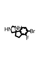 Fc1c(Br)ccc2c1CCC21CNCN1